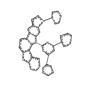 c1ccc(-c2cc(-c3ccccc3)nc(-n3c4cc5c(ccn5-c5ccccc5)cc4c4ccc5sc6ccccc6c5c43)n2)cc1